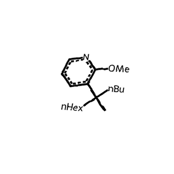 CCCCCCC(C)(CCCC)c1cccnc1OC